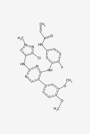 C=CC(=O)Nc1ccc(F)c(Nc2nc(Nc3cn(C)nc3Cl)ncc2-c2ccc(OC)c(OC)c2)c1